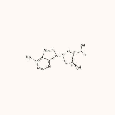 [2H]C(O)[C@H]1O[C@@H](n2cnc3c(N)ncnc32)C[C@@H]1O